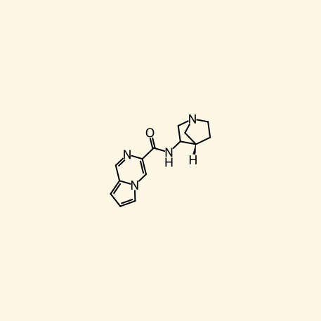 O=C(NC1CN2CC[C@H]1C2)c1cn2cccc2cn1